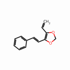 C=CC1=C(/C=C/c2ccccc2)OCO1